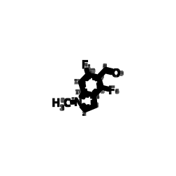 Cn1ccc2c(F)c(C=O)c(F)cc21